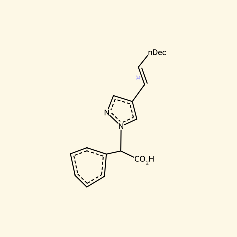 CCCCCCCCCC/C=C/c1cnn(C(C(=O)O)c2ccccc2)c1